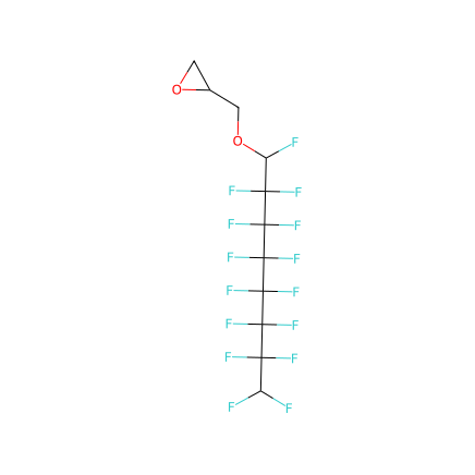 FC(F)C(F)(F)C(F)(F)C(F)(F)C(F)(F)C(F)(F)C(F)(F)C(F)OCC1CO1